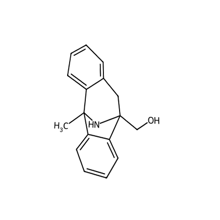 CC12NC(CO)(Cc3ccccc31)c1ccccc12